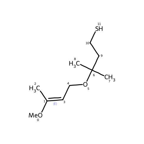 CO/C(C)=C/COC(C)(C)CCS